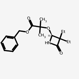 CCC1(CC)C(=O)N[C@H]1OC(C)(C)C(=O)OCc1ccccc1